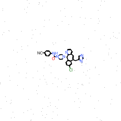 Cn1cncc1CC1=Cc2cccnc2[C@@H](N2CCN(C(=O)Nc3ccc(C#N)cc3)CC2)c2ccc(Cl)cc21